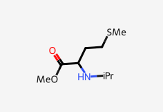 COC(=O)C(CCSC)NC(C)C